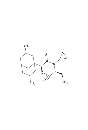 CC[C@@H](C#N)N(C(=O)[C@@H](N)C12CC(C)CC(CC(C)C1)C2)C1CC1